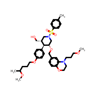 COCCCN1CCOc2ccc(CO[C@H]3CN(S(=O)(=O)c4ccc(C)cc4)C[C@@H](CO)[C@@H]3c3ccc(OCCCC(C)OC)cc3)cc21